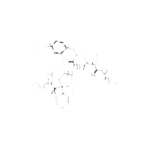 CC(C[C@@H](Cc1ccc(Cl)cc1)C(=O)NN1CCC(C(=O)NC(C)(C)C)(C2CCCCC2)CC1)N(C)C(=O)OC(C)(C)C